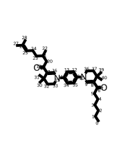 CCCCCCC(=O)C1=CN(c2ccc(N3C=C(C(=O)CC(C)CCC=C(C)C)C(C)(C)CC3)cc2)CCC1(C)C